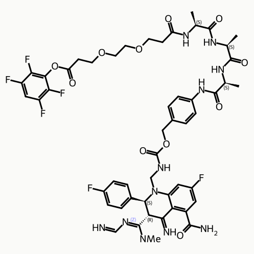 CN/C(=N\C=N)[C@H]1C(=N)c2c(C(N)=O)cc(F)cc2N(CNC(=O)OCc2ccc(NC(=O)[C@H](C)NC(=O)[C@H](C)NC(=O)[C@H](C)NC(=O)CCOCCOCCC(=O)Oc3c(F)c(F)cc(F)c3F)cc2)[C@@H]1c1ccc(F)cc1